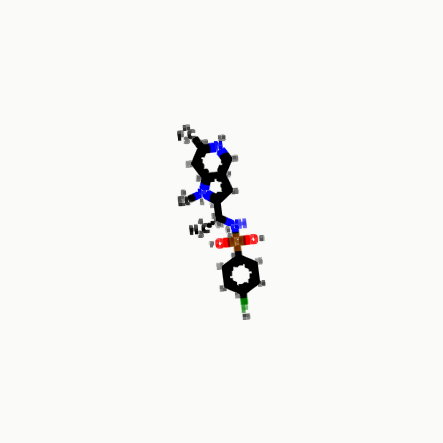 CCn1c([C@@H](C)NS(=O)(=O)c2ccc(F)cc2)cc2cnc(C(F)(F)F)cc21